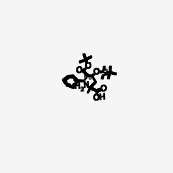 CC(C)(C)OC(=O)[C@@H](Cc1ccccc1)[C@H](C[C@@](C)(N)C(=O)O)O[Si](C)(C)C(C)(C)C